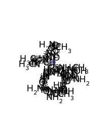 Cc1ccc(N(C(=O)/C=C/c2ccc(C[C@H]3NC(=O)C(CCN)NC(=O)C(NC(=O)[C@@H](CCN)NC(=O)[C@@H](N)[C@@H](C)O)CCNC(=O)[C@@H]([C@@H](C)O)NC(=O)[C@@H](CCN)NC(=O)[C@@H](CCN)CC(=O)[C@@H](CC(C)C)NC3=O)cc2)c2nccc(N(C)c3ccc4c(C)n(C)nc4c3)n2)cc1S(N)(=O)=O